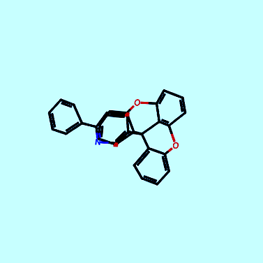 c1ccc(-c2ccc(C34c5ccccc5Oc5cccc(c53)Oc3ccccc34)cn2)cc1